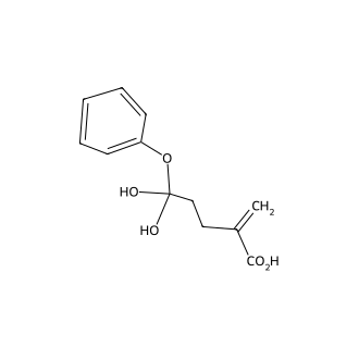 C=C(CCC(O)(O)Oc1ccccc1)C(=O)O